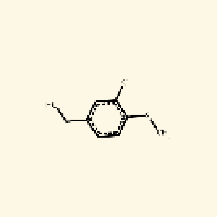 CSc1ccc(CO)cc1Cl